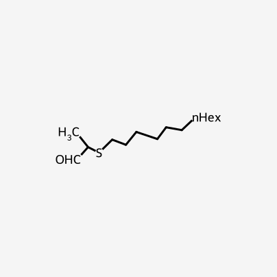 CCCCCCCCCCCCSC(C)C=O